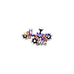 CCCN(c1nc(C2CC2)nc(OCCNS(=O)(=O)c2cccs2)c1Oc1ccccc1OC)S(=O)(=O)c1ccccn1